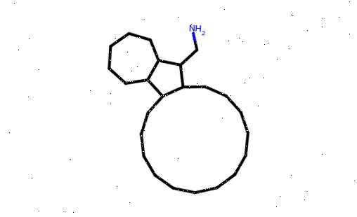 NCC1C2CCCCCCCCCCCCCC2C2CCCCCC12